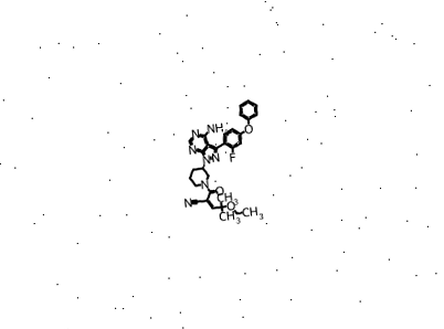 CCOC(C)(C)/C=C(/C#N)C(=O)N1CCC[C@@H](n2nc(-c3ccc(Oc4ccccc4)cc3F)c3c(N)ncnc32)C1